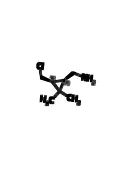 CC1(C)[C@H](CN)[C@@H]1CCl